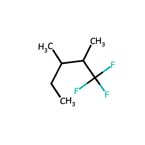 CCC(C)C(C)C(F)(F)F